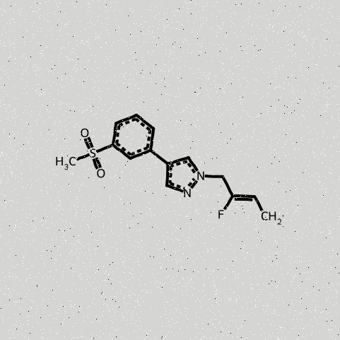 [CH2]/C=C(\F)Cn1cc(-c2cccc(S(C)(=O)=O)c2)cn1